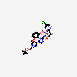 COc1cccc(OC)c1-n1c(NS(=O)(=O)[C@@H](C)[C@H](C)c2ncc(Cl)cn2)nnc1[C@H]1CCN(COC(C)(C)C)C1